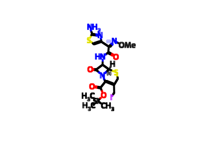 CO/N=C(\C(=O)NC1C(=O)N2C(C(=O)O[Si](C)(C)C)=C(CI)CS[C@H]12)c1csc(N)n1